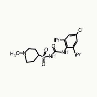 CC(C)c1cc(Cl)cc(C(C)C)c1NC(=O)NS(=O)(=O)C1CCN(C)CC1